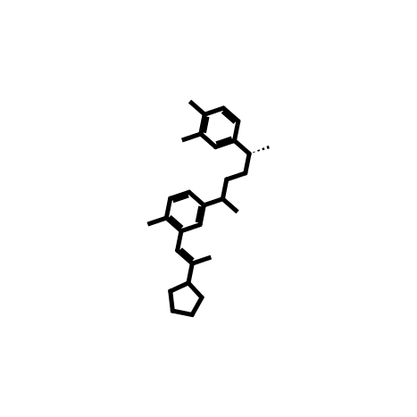 C/C(=C\c1cc(C(C)CC[C@@H](C)c2ccc(C)c(C)c2)ccc1C)C1CCCC1